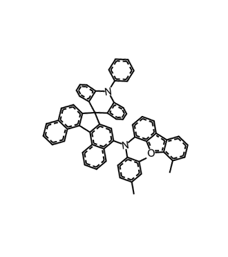 Cc1ccc(N(c2cc3c(c4ccccc24)-c2c(ccc4ccccc24)C32c3ccccc3N(c3ccccc3)c3ccccc32)c2cccc3c2oc2c(C)cccc23)c(C)c1